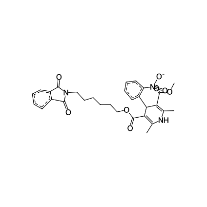 COC(=O)C1=C(C)NC(C)=C(C(=O)OCCCCCCN2C(=O)c3ccccc3C2=O)C1c1ccccc1[N+](=O)[O-]